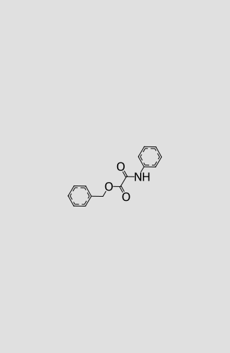 O=C(Nc1ccccc1)C(=O)OCc1ccccc1